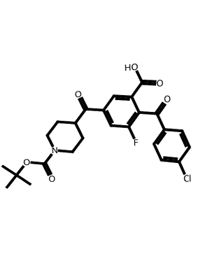 CC(C)(C)OC(=O)N1CCC(C(=O)c2cc(F)c(C(=O)c3ccc(Cl)cc3)c(C(=O)O)c2)CC1